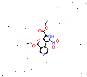 CCOC(=O)c1cc(-c2ccncc2C(=O)OCC)c([N+](=O)[O-])[nH]1